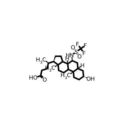 C[C@H](CCC(=O)O)[C@H]1CCC2[C@H]3C(CC[C@@]21C)[C@@]1(C)CC[C@@H](O)C[C@H]1C[C@@H]3NS(=O)(=O)C(F)(F)F